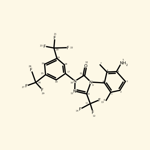 Cc1ccc(N)c(C)c1-n1c(C(F)(F)F)nn(-c2cc(C(F)(F)F)cc(C(F)(F)F)c2)c1=O